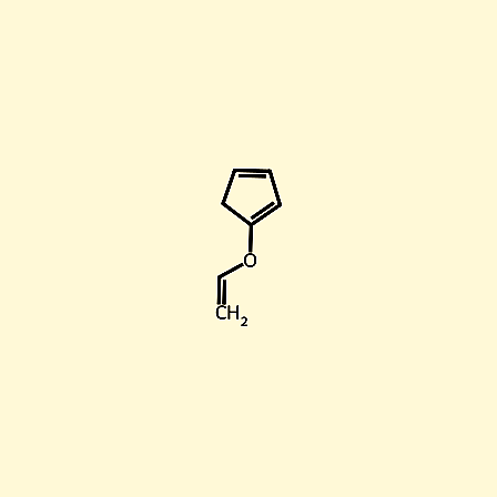 C=COC1=CC=CC1